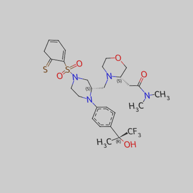 CN(C)C(=O)C[C@H]1COCCN1C[C@H]1CN(S(=O)(=O)C2=CC=CCC2=S)CCN1c1ccc([C@@](C)(O)C(F)(F)F)cc1